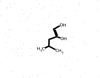 CC(C)CC(O)=CO